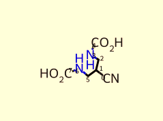 N#CC(CNC(=O)O)CNC(=O)O